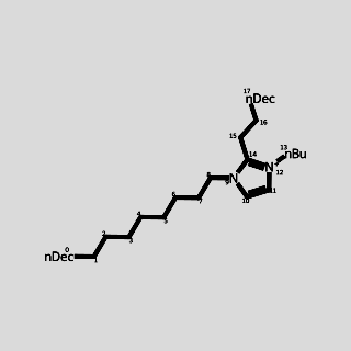 CCCCCCCCCCCCCCCCCCn1cc[n+](CCCC)c1CCCCCCCCCCCC